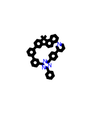 CC1(C)c2ccc(-c3cccc(-c4cccc(-c5nc(-c6ccccc6)nc(-c6ccc(-c7cccnc7)cc6)n5)c4)c3)cc2-c2ccc3ccccc3c21